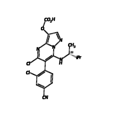 CC(C)[C@@H](C)Nc1c(-c2ccc(C#N)cc2Cl)c(Cl)nc2c(OC(=O)O)cnn12